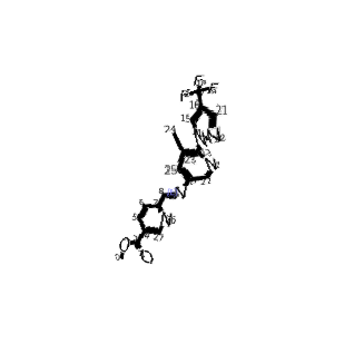 COC(=O)c1ccc(/C=N/c2cnc(-n3cc(C(F)(F)F)cn3)c(C)c2)nc1